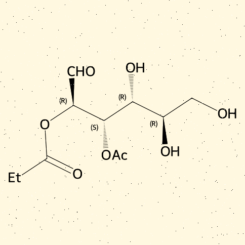 CCC(=O)O[C@@H](C=O)[C@@H](OC(C)=O)[C@H](O)[C@H](O)CO